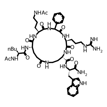 CCCC[C@H](NC(C)=O)C(=O)N[C@H]1CCC(=O)NCC[C@@H](C(=O)N[C@@H](Cc2c[nH]c3ccccc23)C(N)=O)NC(=O)[C@H](CCCNC(=N)N)NC(=O)C(c2ccccc2)NC(=O)[C@H](CCCNC(C)=O)NC1=O